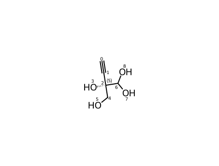 C#C[C@](O)(CO)C(O)O